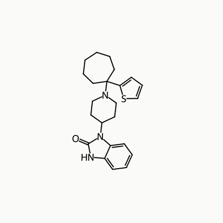 O=c1[nH]c2ccccc2n1C1CCN(C2(c3cccs3)CCCCCC2)CC1